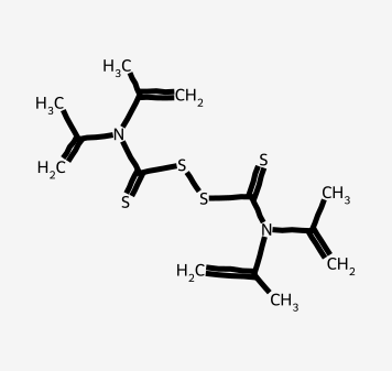 C=C(C)N(C(=C)C)C(=S)SSC(=S)N(C(=C)C)C(=C)C